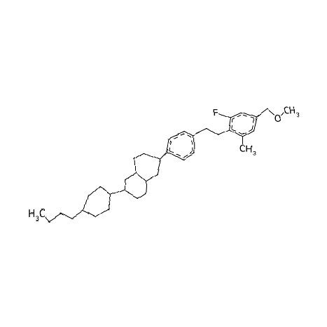 CCCCC1CCC(C2CCC3CC(c4ccc(CCc5c(C)cc(COC)cc5F)cc4)CCC3C2)CC1